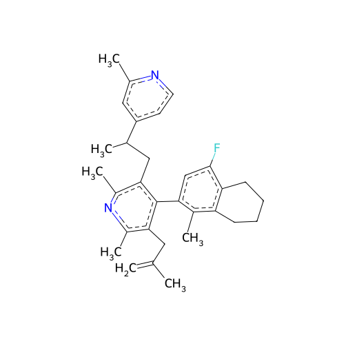 C=C(C)Cc1c(C)nc(C)c(CC(C)c2ccnc(C)c2)c1-c1cc(F)c2c(c1C)CCCC2